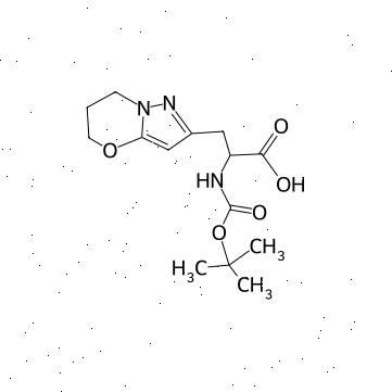 CC(C)(C)OC(=O)NC(Cc1cc2n(n1)CCCO2)C(=O)O